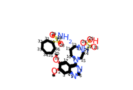 COc1cc2ncnc(N3CCCNCC3)c2cc1OC.CS(=O)(=O)O.NS(=O)(=O)C1CCCCCC1